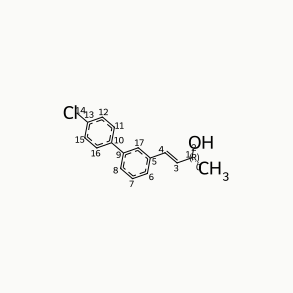 C[C@@H](O)C=Cc1cccc(-c2ccc(Cl)cc2)c1